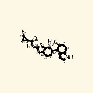 Cc1ccc2[nH]ccc2c1-c1ccc2nc(NC(=O)C3CC3F)sc2c1